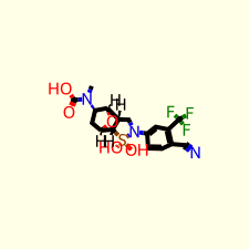 CN(C(=O)O)[C@@H]1C[C@H]2O[C@@H]1[C@@H]1CN(c3ccc(C#N)c(C(F)(F)F)c3)S(O)(O)[C@@H]12